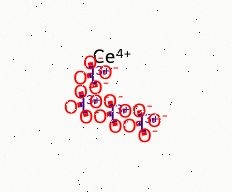 [Ce+4].[O-][I+3]([O-])([O-])[O-].[O-][I+3]([O-])([O-])[O-].[O-][I+3]([O-])([O-])[O-].[O-][I+3]([O-])([O-])[O-]